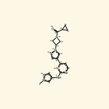 Cn1cc(Nc2nccc(-c3cnn(C4CN(C(=O)C5CC5)C4)c3)n2)cn1